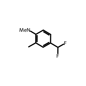 CNc1ccc(C(F)F)cc1C